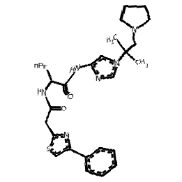 CCCC(NC(=O)Cc1nc(-c2ccccc2)cs1)C(=O)Nc1cn(C(C)(C)CN2CCCC2)cn1